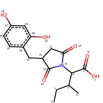 CCC(C)C(C(=O)O)N1C(=O)CC(Cc2ccc(O)cc2O)C1=O